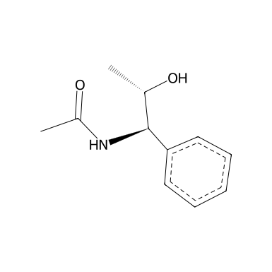 CC(=O)N[C@H](c1ccccc1)[C@H](C)O